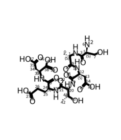 C[C@H](NC(=O)[C@@H](N)CO)C(=O)N[C@@H](CC(=O)O)C(=O)N[C@H](C(=O)N[C@@H](CCC(=O)O)C(=O)N[C@@H](CC(=O)O)C(=O)O)[C@@H](C)O